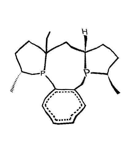 C[C@@H]1CC[C@H]2CC3(C)CC[C@@H](C)P3c3ccccc3P21